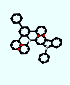 c1ccc(-c2cc(-c3ccccc3)c(N(c3ccccc3)c3ccc4c5ccccc5n(-c5ccccc5)c4c3)c(-c3ccccc3)c2)cc1